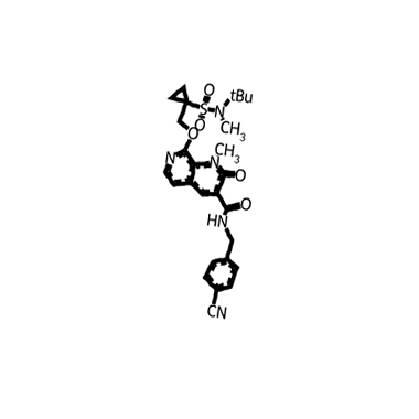 CN(C(C)(C)C)S(=O)(=O)C1(COc2nccc3cc(C(=O)NCc4ccc(C#N)cc4)c(=O)n(C)c23)CC1